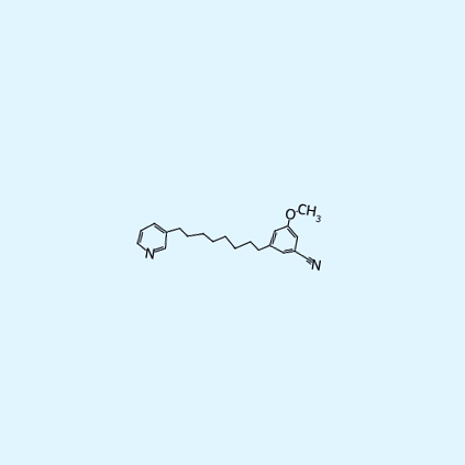 COc1cc(C#N)cc(CCCCCCCCc2cccnc2)c1